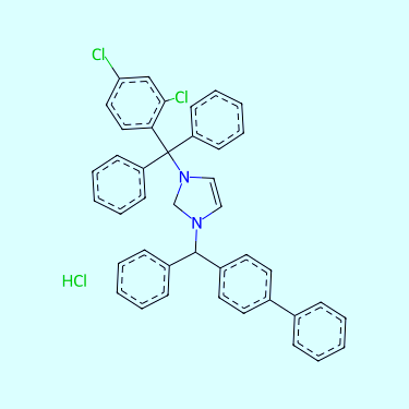 Cl.Clc1ccc(C(c2ccccc2)(c2ccccc2)N2C=CN(C(c3ccccc3)c3ccc(-c4ccccc4)cc3)C2)c(Cl)c1